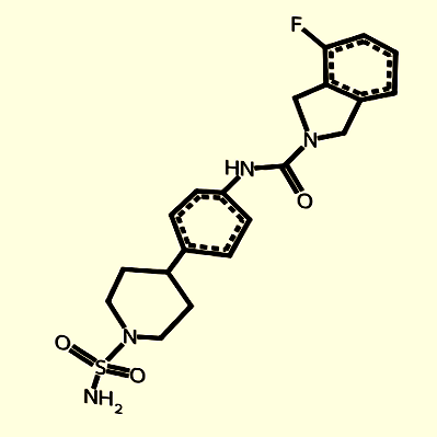 NS(=O)(=O)N1CCC(c2ccc(NC(=O)N3Cc4cccc(F)c4C3)cc2)CC1